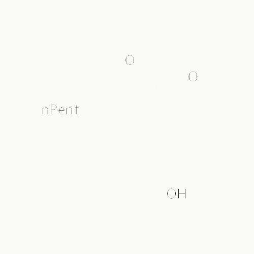 CCCCCCCCO.O=C1CCCO1